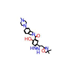 CN1CCN(c2ccc3c(c2)CN(C(=O)c2cc4c(cc2O)NNC4CC2=NC(C)(C)CO2)C3)CC1